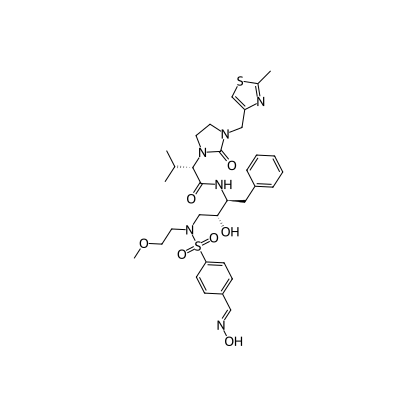 COCCN(C[C@@H](O)[C@H](Cc1ccccc1)NC(=O)[C@H](C(C)C)N1CCN(Cc2csc(C)n2)C1=O)S(=O)(=O)c1ccc(C=NO)cc1